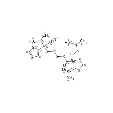 CC(C)CC[N@+]1(C(=O)CCCCC(C#N)(c2cccs2)C(C)C)CCCC1C(N)=O